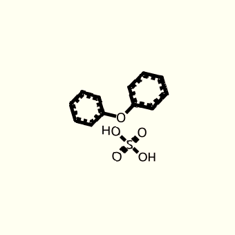 O=S(=O)(O)O.c1ccc(Oc2ccccc2)cc1